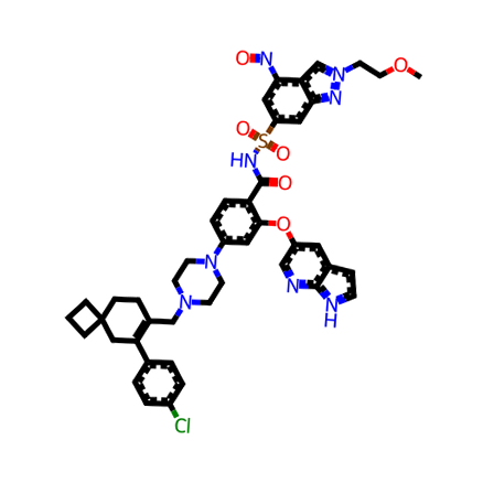 COCCn1cc2c(N=O)cc(S(=O)(=O)NC(=O)c3ccc(N4CCN(CC5=C(c6ccc(Cl)cc6)CC6(CCC6)CC5)CC4)cc3Oc3cnc4[nH]ccc4c3)cc2n1